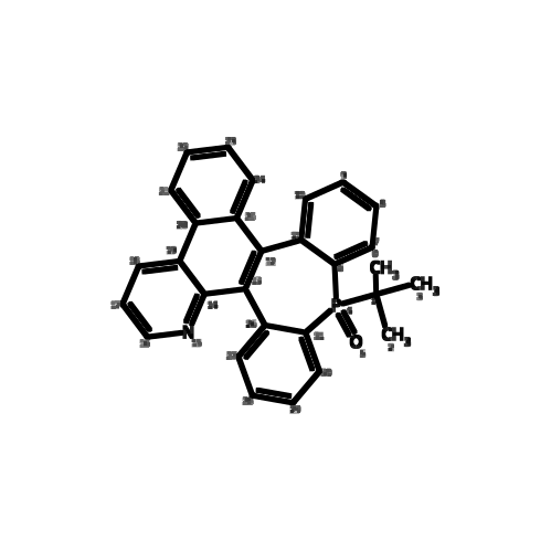 CC(C)(C)P1(=O)c2ccccc2-c2c(c3ncccc3c3ccccc23)-c2ccccc21